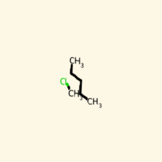 CCCCC.CCl